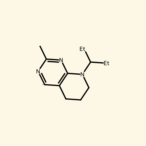 CCC(CC)N1CCCc2[c]nc(C)nc21